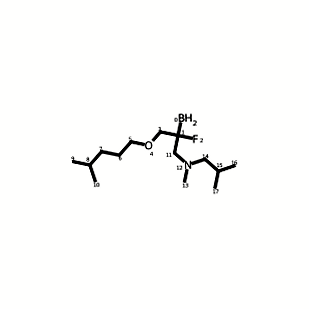 BC(F)(COCCCC(C)C)CN(C)CC(C)C